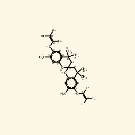 Cc1cc2c(cc1OC(F)=C(F)F)C(C)(C)CC1(CC(C)(C)c3cc(OC(F)=C(F)F)c(C)cc3O1)O2